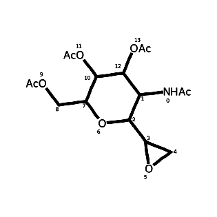 CC(=O)NC1C(C2CO2)OC(COC(C)=O)C(OC(C)=O)C1OC(C)=O